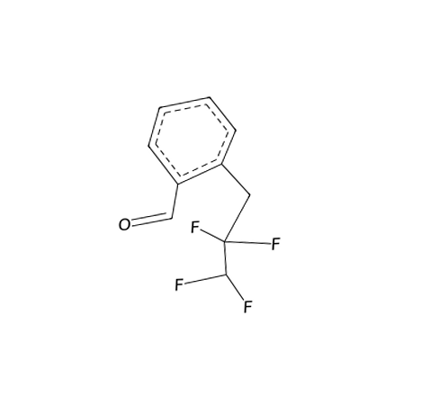 O=Cc1ccccc1CC(F)(F)C(F)F